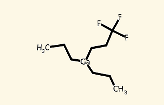 CC[CH2][Ga]([CH2]CC)[CH2]CC(F)(F)F